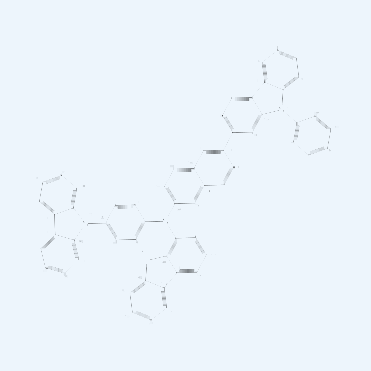 c1ccc(-n2c3ccccc3c3ccc(-c4ccc5cc(N(c6ccc(-n7c8ccccc8c8ccccc87)cc6)c6cccc7c6oc6ccccc67)ccc5c4)cc32)cc1